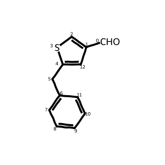 O=Cc1csc(Cc2ccccc2)c1